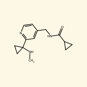 CNC1(c2cc(CNC(=O)C3CC3)ccn2)CC1